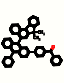 CC1(C)c2ccccc2-c2c1cc(-c1c3ccccc3c(-c3ccccc3)c3ccc(-c4ccc(C(=O)c5ccccc5)cc4)cc13)c1ccccc21